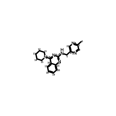 Cc1cnc(CNc2nc(N3CCCCC3)c3ccccc3n2)cn1